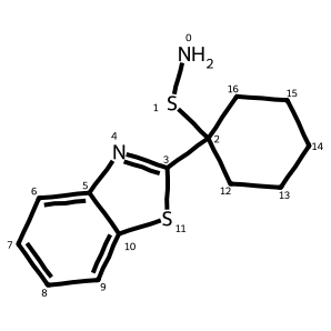 NSC1(c2nc3ccccc3s2)CCCCC1